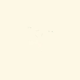 COc1cc(OC)cc(B(O)OCC(C)(C)C)c1